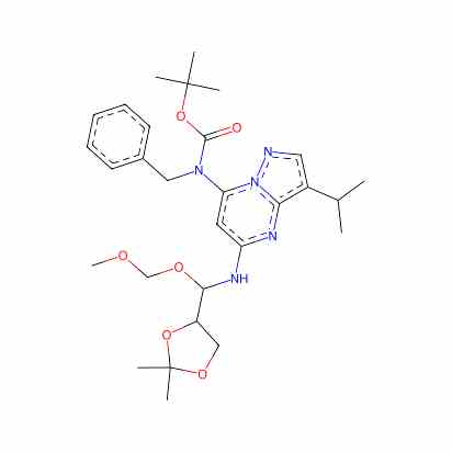 COCOC(Nc1cc(N(Cc2ccccc2)C(=O)OC(C)(C)C)n2ncc(C(C)C)c2n1)C1COC(C)(C)O1